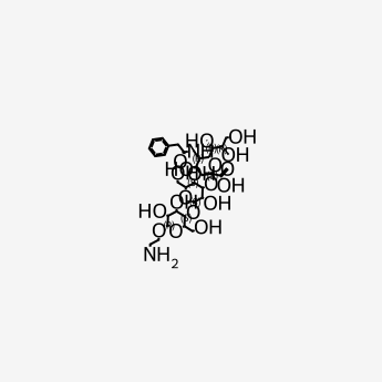 NCCO[C@@H]1OC(CO)[C@@H](O[C@@H]2OC(CO)[C@H](O)C(O[C@]3(C(=O)O)CC(O)[C@@H](NC(=O)Cc4ccccc4)C([C@H](O)[C@H](O)CO)O3)C2O)C(O)C1O